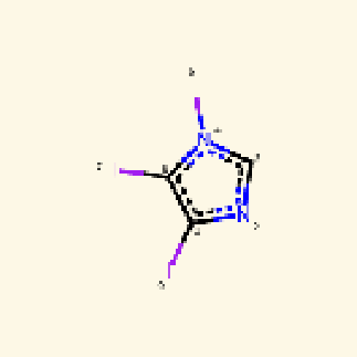 Ic1ncn(I)c1I